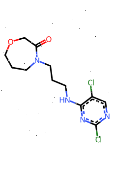 O=C1COCCCN1CCCNc1nc(Cl)ncc1Cl